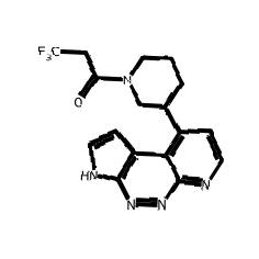 O=C(CC(F)(F)F)N1CCCC(c2ccnc3nnc4[nH]ccc4c23)C1